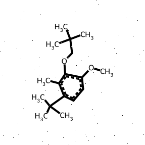 COc1ccc(C(C)(C)C)c(C)c1OCC(C)(C)C